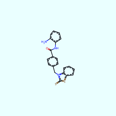 Nc1ccccc1NC(=O)c1ccc(Cn2c(=S)sc3ccccc32)cc1